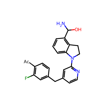 CC(=O)c1ccc(Cc2ccnc(N3CCc4c(C(N)O)cccc43)c2)cc1F